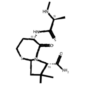 CN[C@@H](C)C(=S)N[C@H]1CCSC2CC(C)(C)[C@@H](C(N)=O)N2C1=O